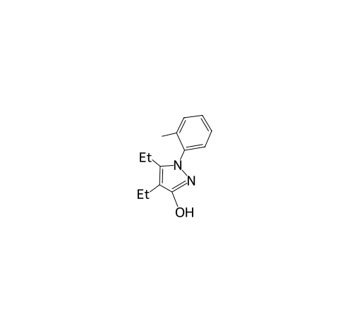 CCc1c(O)nn(-c2ccccc2C)c1CC